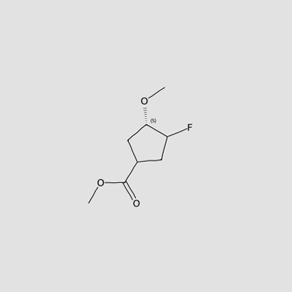 COC(=O)C1CC(F)[C@@H](OC)C1